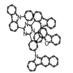 c1ccc(-n2c3ccccc3c3cccc(-c4nc(-c5ccc(-n6c7ccccc7c7cc8ccccc8cc76)cc5-c5cccc6c5oc5ccccc56)nc(-c5cccc6c7ccccc7n(-c7ccccc7)c56)n4)c32)cc1